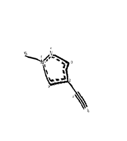 C#Cc1cnn(C)c1